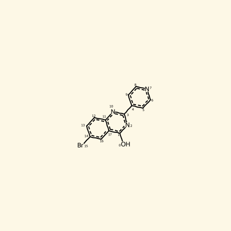 Oc1nc(-c2ccncc2)nc2ccc(Br)cc12